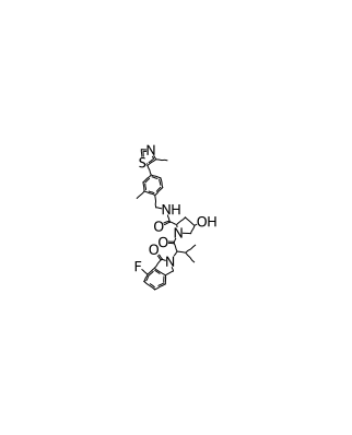 Cc1cc(-c2scnc2C)ccc1CNC(=O)C1CC(O)CN1C(=O)C(C(C)C)N1Cc2cccc(F)c2C1=O